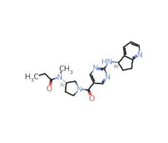 CCC(=O)N(C)[C@H]1CCN(C(=O)c2cnc(N[C@@H]3CCc4ncccc43)nc2)C1